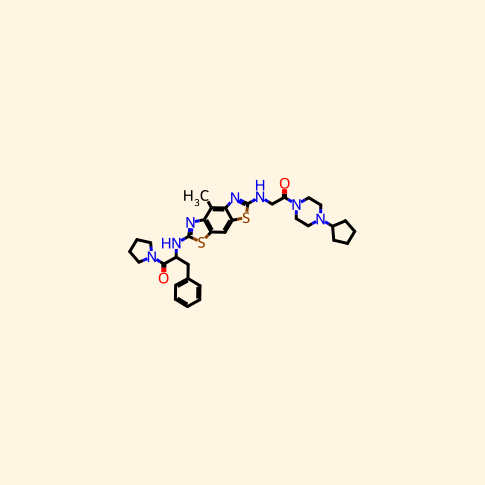 Cc1c2nc(NCC(=O)N3CCN(C4CCCC4)CC3)sc2cc2sc(NC(Cc3ccccc3)C(=O)N3CCCC3)nc12